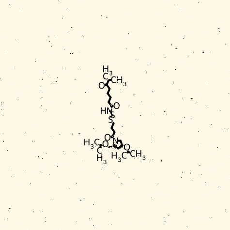 CC(C)OC[C@@H]1C[C@@H](OC(C)C)CN1C(=O)CCCSSNC(=O)CCCCC(=O)C(C)C